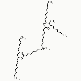 CCCCCCCCC(CCCCCCCC)OC(=O)CCCCCCCN(C)CCCCCCCC(=O)OC(CCCCCCCC)C(C)CCCCCCC